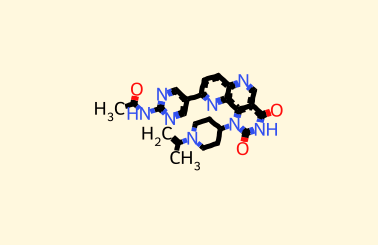 C=C(C)N1CCC(n2c(=O)[nH]c(=O)c3cnc4ccc(-c5cnc(NC(C)=O)nc5)nc4c32)CC1